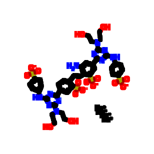 Nc1cc(-c2nc(Nc3ccc(S(=O)(=O)[O-])cc3)nc(N(CCO)CCO)n2)cc(S(=O)(=O)[O-])c1C=Cc1ccc(-c2nc(Nc3ccc(S(=O)(=O)[O-])cc3)nc(N(CCO)CCO)n2)cc1S(=O)(=O)[O-].[Na+].[Na+].[Na+].[Na+]